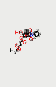 COC(=O)CCC(=O)OC1C2O[C@H](C1O)[C@@H]1C(=O)N(c3ccccc3)C(=O)C21